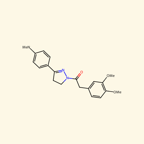 CNc1ccc(C2=NN(C(=O)Cc3ccc(OC)c(OC)c3)CC2)cc1